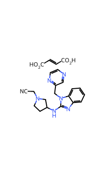 N#CCN1CCC(Nc2nc3ccccc3n2Cc2cnccn2)C1.O=C(O)C=CC(=O)O